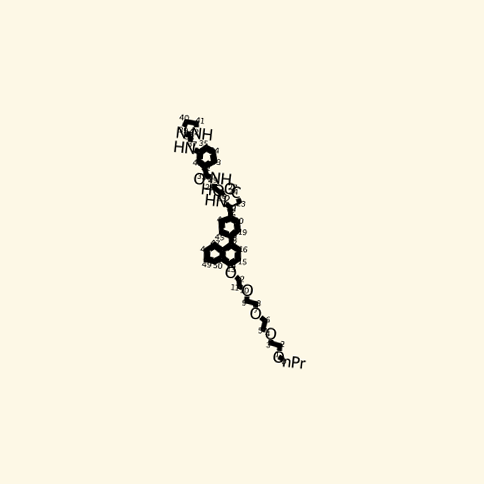 CCCOCCOCCOCCOCCOc1ccc(-c2ccc([C@H](CC(=O)O)NC(=O)CNC(=O)c3cccc(NC4=NCCN4)c3)cc2)c2ccccc12